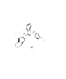 CC(=O)O.NCc1cccc(Cn2cc(-c3nc4cc5c(cc4[nH]c3=O)CCCC5)c3ccccc32)c1